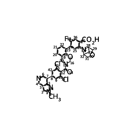 Cn1cc2cncc(-c3cc(Cl)c(C(=O)N4COc5c(cccc5-c5cc(N6C7COCC6C7)c(C(=O)O)cc5F)C4)c(Cl)c3)c2n1